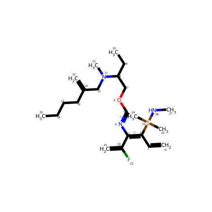 C=C/C(=C(/N=C/OCC(CC)N(C)CC(=C)CCCC)C(=C)F)S(C)(C)NC